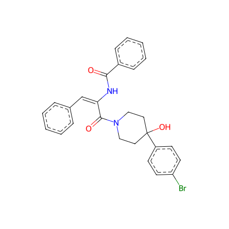 O=C(N/C(=C/c1ccccc1)C(=O)N1CCC(O)(c2ccc(Br)cc2)CC1)c1ccccc1